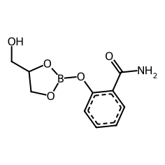 NC(=O)c1ccccc1OB1OCC(CO)O1